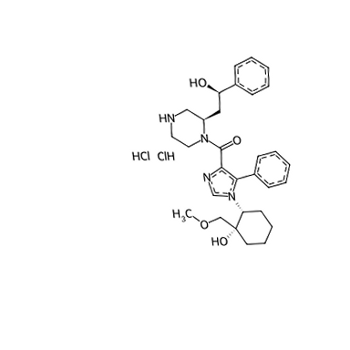 COC[C@]1(O)CCCC[C@H]1n1cnc(C(=O)N2CCNC[C@H]2C[C@@H](O)c2ccccc2)c1-c1ccccc1.Cl.Cl